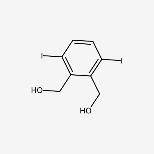 OCc1c(I)ccc(I)c1CO